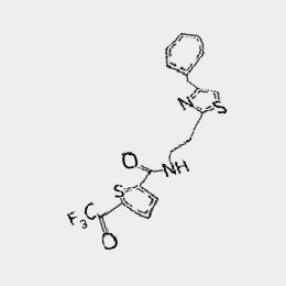 O=C(NCCc1nc(-c2ccccc2)cs1)c1ccc(C(=O)C(F)(F)F)s1